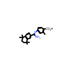 Cc1cc(N=C(N)c2ccc3c(c2)C(C)(C)CCC3(C)C)ccc1C(=O)O